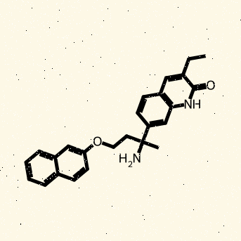 CCc1cc2ccc(C(C)(N)CCOc3ccc4ccccc4c3)cc2[nH]c1=O